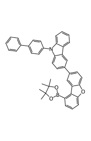 CC1(C)OB(c2cccc3oc4ccc(-c5ccc6c(c5)c5ccccc5n6-c5ccc(-c6ccccc6)cc5)cc4c23)OC1(C)C